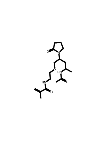 C=C(C)C(=O)NCCSCC(CC(C)NC(C)=O)N1CCCC1=O